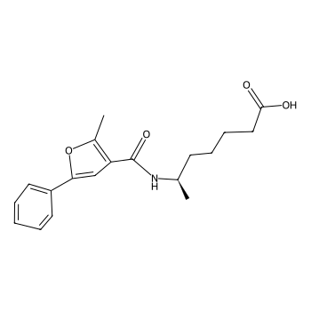 Cc1oc(-c2ccccc2)cc1C(=O)N[C@H](C)CCCCC(=O)O